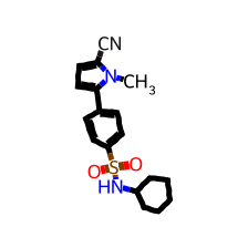 Cn1c(C#N)ccc1-c1ccc(S(=O)(=O)NC2CCCCC2)cc1